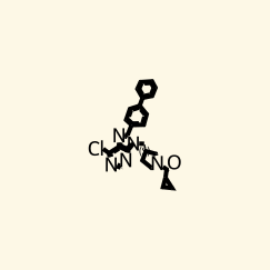 O=C(C1CC1)N1CC[C@H](Cn2c(-c3ccc(-c4ccccc4)cc3)nc3c(Cl)ncnc32)C1